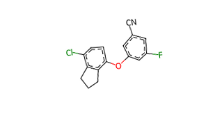 N#Cc1cc(F)cc(Oc2ccc(Cl)c3c2CCC3)c1